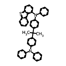 CC(C)(c1ccc(N(c2ccccc2)c2ccccc2)cc1)c1ccc(N(c2ccccc2)c2cccc3sc4ccccc4c23)cc1